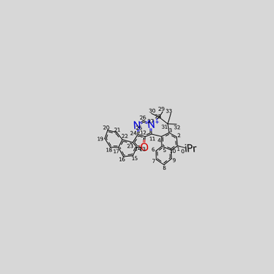 CC(C)c1cc2c(c3ccccc13)-c1c3oc4ccc5ccccc5c4c3nc[n+]1C(C)(C)C2(C)C